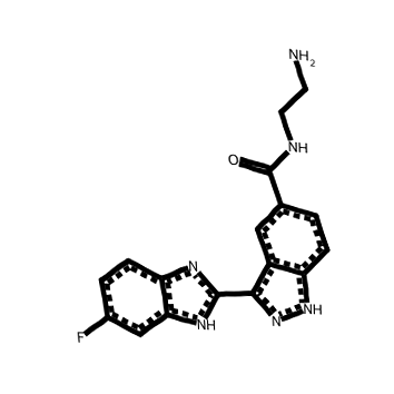 NCCNC(=O)c1ccc2[nH]nc(-c3nc4ccc(F)cc4[nH]3)c2c1